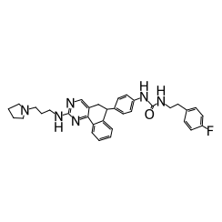 O=C(NCCc1ccc(F)cc1)Nc1ccc(C2Cc3cnc(NCCCN4CCCC4)nc3-c3ccccc32)cc1